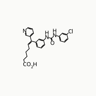 O=C(O)CCCCC=C(c1cccnc1)c1cccc(NC(=O)Nc2cccc(Cl)c2)c1